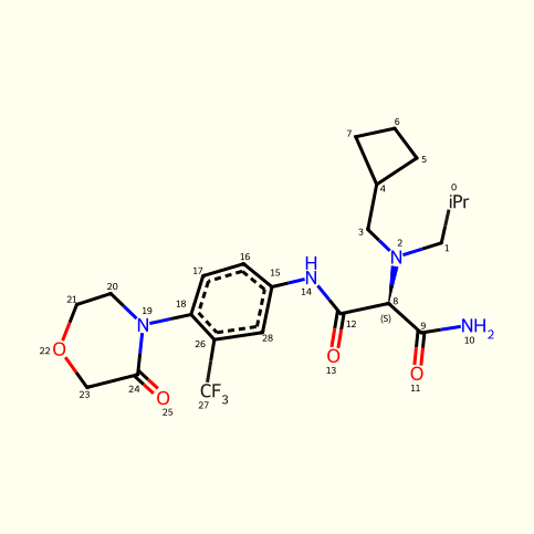 CC(C)CN(CC1CCC1)[C@@H](C(N)=O)C(=O)Nc1ccc(N2CCOCC2=O)c(C(F)(F)F)c1